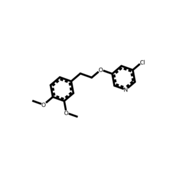 COc1ccc(CCOc2cncc(Cl)c2)cc1OC